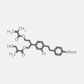 C=C(C)C(=O)OCCC(COC(=O)C(=C)CO)c1ccc(CCc2ccc(CCCCC)cc2)c(CC)c1